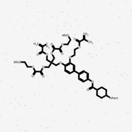 C=C(C)C(=O)OCCOc1cc(-c2ccc(OC(=O)C3CCC(CCCCC)CC3)cc2)ccc1OCC(COC(=O)C(=C)C)(COC(=O)C(=O)OCCOC)COC(=O)C(=O)OCCOC